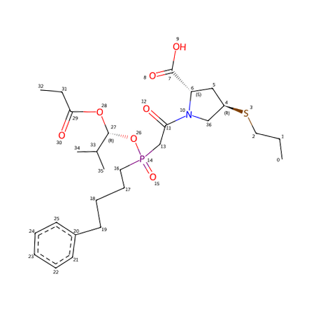 CCCS[C@@H]1C[C@@H](C(=O)O)N(C(=O)CP(=O)(CCCCc2ccccc2)O[C@@H](OC(=O)CC)C(C)C)C1